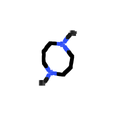 CC(C)N1CCCN(C(C)C)CCC1